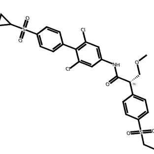 CCS(=O)(=O)c1ccc([C@@H](COC)C(=O)Nc2cc(Cl)c(-c3ccc(S(=O)(=O)C4CC4)cc3)c(Cl)c2)cc1